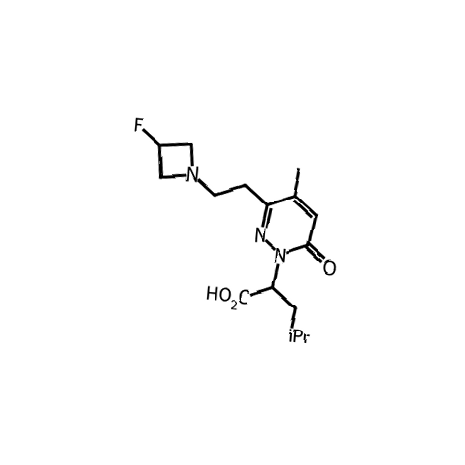 Cc1cc(=O)n(C(CC(C)C)C(=O)O)nc1CCN1CC(F)C1